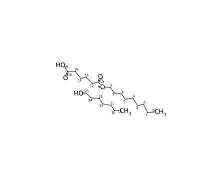 CCCCCCCCCOC(=O)CCCCC(=O)O.CCCCCCCO